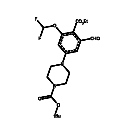 CCOC(=O)c1c(C=O)cc(N2CCN(C(=O)OC(C)(C)C)CC2)cc1OC(F)F